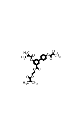 C=C(C)C(=O)OCCOC(=O)c1cc(OC(=O)C(=C)C)cc(-c2ccc(OC(=O)C(C)C)cc2)c1